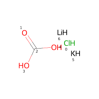 Cl.O=C(O)O.[KH].[LiH]